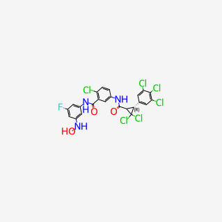 O=C(Nc1cc(F)cc(NO)c1)c1cc(NC(=O)C2[C@H](c3cc(Cl)c(Cl)c(Cl)c3)C2(Cl)Cl)ccc1Cl